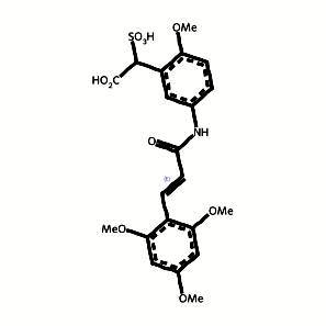 COc1cc(OC)c(/C=C/C(=O)Nc2ccc(OC)c(C(C(=O)O)S(=O)(=O)O)c2)c(OC)c1